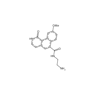 COc1ccc2c(C(=O)NCCN)cc3cc[nH]c(=O)c3c2c1